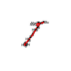 CO[C@H]1CN(C(=O)CCCC(=O)NCCCOCCOCCOCCCNC(=O)CCCC[C@@H]2SC[C@@H]3NC(=O)N[C@@H]32)CCc2c(nnn2CCOCCN(C)C(C)(C)C)[C@@H]1OC